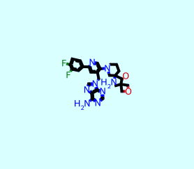 CC1(C(=O)C2(N)CCCN(c3cnc(-c4ccc(F)c(F)c4)cc3Cn3cnc4c(N)ncnc43)C2)COC1